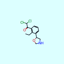 CCc1c(C(=O)C(Cl)Cl)cccc1C1CNCO1